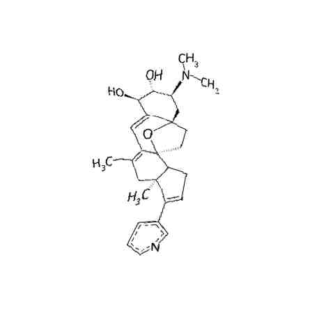 CC1=C2C=C3[C@@H](O)[C@H](O)[C@@H](N(C)C)C[C@]34CC[C@]2(O4)C2CC=C(c3cccnc3)[C@@]2(C)C1